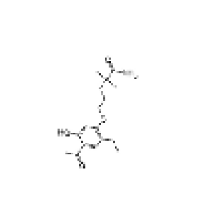 CCc1cc(C(C)=O)c(O)cc1OCCCC(C)(C)C(N)=O